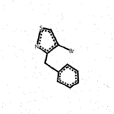 Brc1[c]snc1Cc1ccccc1